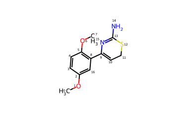 COc1ccc(OC)c(C2=CCSC(N)=N2)c1